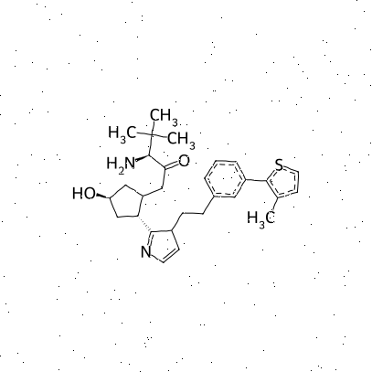 Cc1ccsc1-c1cccc(CCC2C=CN=C2[C@@H]2C[C@@H](O)CC2CC(=O)[C@@H](N)C(C)(C)C)c1